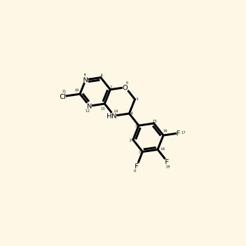 Fc1cc(C2COc3cnc(Cl)nc3N2)cc(F)c1F